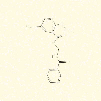 COc1ccc(NC=O)c(C(=O)CCNC(=O)c2ccccc2)c1